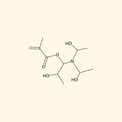 C=C(C)C(=O)OC(C(C)O)N(C(C)O)C(C)O